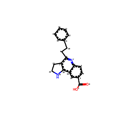 O=C(O)c1ccc2nc(CCc3ccccc3)c3c(c2c1)NCC3